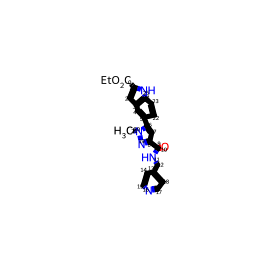 CCOC(=O)c1cc2cc(-c3cc(C(=O)NCc4ccncc4)nn3C)ccc2[nH]1